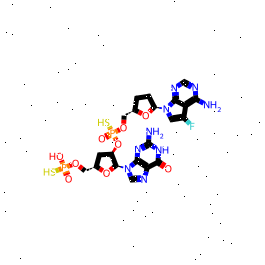 Nc1nc2c(ncn2[C@@H]2O[C@H](COP(=O)(O)S)C[C@H]2OP(=O)(S)OC[C@@H]2CC[C@H](n3cc(F)c4c(N)ncnc43)O2)c(=O)[nH]1